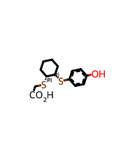 O=C(O)CS[C@@H]1CCCC[C@H]1Sc1ccc(O)cc1